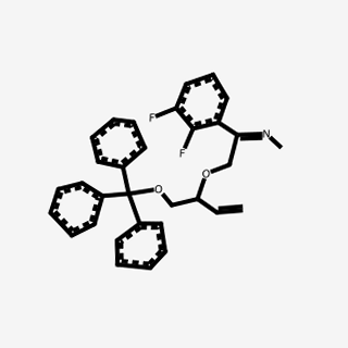 C=CC(COC(c1ccccc1)(c1ccccc1)c1ccccc1)OC/C(=N\C)c1cccc(F)c1F